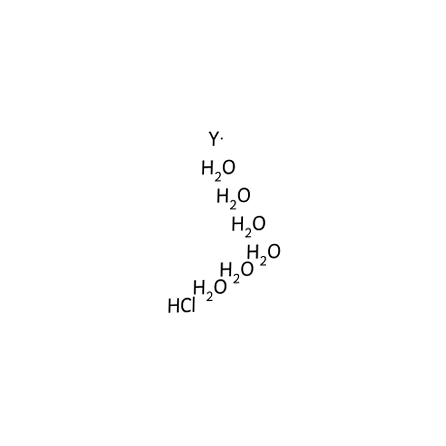 Cl.O.O.O.O.O.O.[Y]